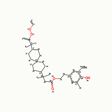 C=COOC(=C)C(C)(C)C1CCC2(CCC(C(C)(C)CC(=O)OCCc3cc(C)c(O)c(C(C)(C)C)c3)CC2)CC1